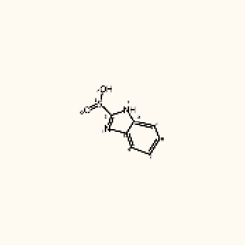 O=S(O)c1nc2ccccc2[nH]1